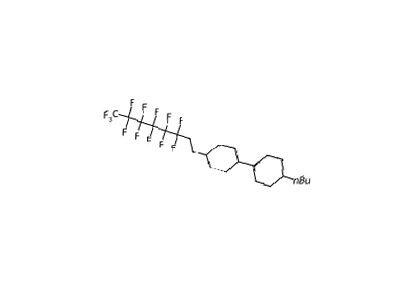 CCCCC1CCC(C2CCC(CCC(F)(F)C(F)(F)C(F)(F)C(F)(F)C(F)(F)C(F)(F)F)CC2)CC1